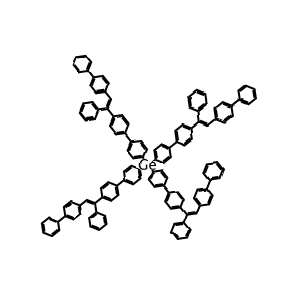 C(=C(c1ccccc1)c1ccc(-c2cc[c]([Ge]([c]3ccc(-c4ccc(C(=Cc5ccc(-c6ccccc6)cc5)c5ccccc5)cc4)cc3)([c]3ccc(-c4ccc(C(=Cc5ccc(-c6ccccc6)cc5)c5ccccc5)cc4)cc3)[c]3ccc(-c4ccc(C(=Cc5ccc(-c6ccccc6)cc5)c5ccccc5)cc4)cc3)cc2)cc1)c1ccc(-c2ccccc2)cc1